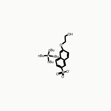 CCCC[P+](CCCC)(CCCC)CCCC.O=S(=O)([O-])c1ccc2cc(OCCO)ccc2c1